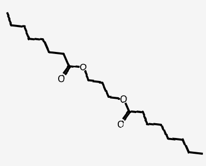 CCCCCCCC(=O)OCCCOC(=O)CCCCCCC